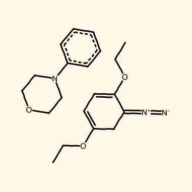 CCOC1=CC=C(OCC)C(=[N+]=[N-])C1.c1ccc(N2CCOCC2)cc1